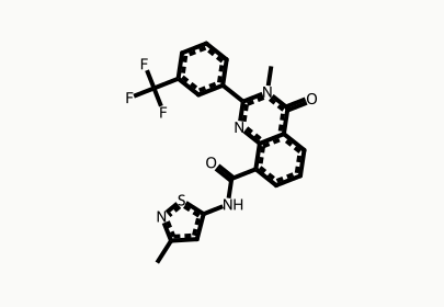 Cc1cc(NC(=O)c2cccc3c(=O)n(C)c(-c4cccc(C(F)(F)F)c4)nc23)sn1